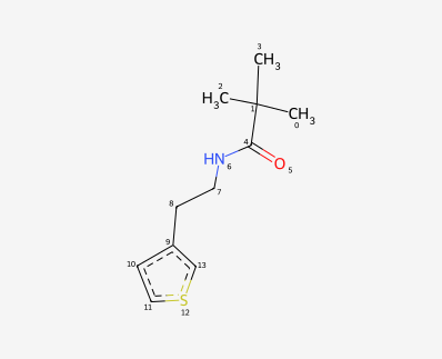 CC(C)(C)C(=O)NCCc1ccsc1